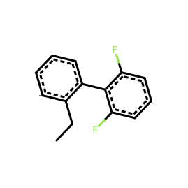 CCc1[c]cccc1-c1c(F)cccc1F